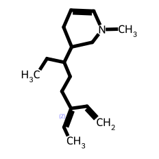 C=C/C(=C\C)CCC(CC)C1CC=CN(C)C1